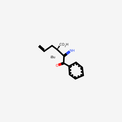 C=CC[C@@](C(=N)C(=O)c1ccccc1)(C(=O)O)[C@H](C)CC